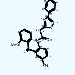 COc1ccccc1C(=O)c1cc(C)ccc1NC(=O)Nc1nc(-c2ccccc2)ns1